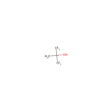 [CH2]C(O)(C(F)(F)F)C(F)(F)F